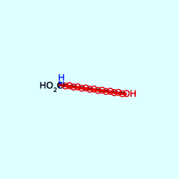 O=C(O)NCCOCCOCCOCCOCCOCCOCCOCCOCCOCCOCCOCCOCCOCCOCCOCCO